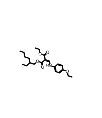 CCCCC(CC)COC(=O)/C(=C\Nc1ccc(OCC)cc1)C(=O)OCC